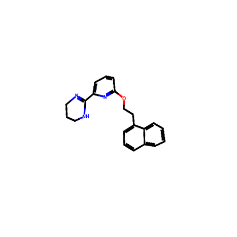 c1cc(OCCc2cccc3ccccc23)nc(C2=NCCCN2)c1